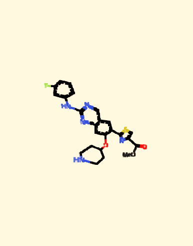 COC(=O)c1csc(-c2cc3cnc(Nc4cccc(F)c4)nc3cc2OC2CCNCC2)n1